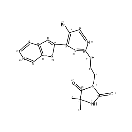 CC1(C)NC(=O)N(CCNc2ncc(Br)c(-c3cc4ccncc4s3)n2)C1=O